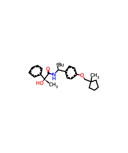 CC1(COc2ccc([C@@H](NC(=O)[C@](C)(O)c3ccccc3)C(C)(C)C)cc2)CCCC1